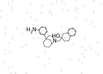 Nc1cccc(C23CCCC(C2)N(CC2(O)CCc4ccccc4C2)CC3)c1